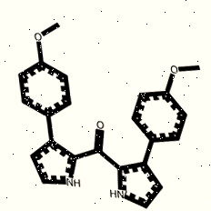 COc1ccc(-c2cc[nH]c2C(=O)c2[nH]ccc2-c2ccc(OC)cc2)cc1